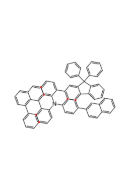 c1ccc(-c2cccc3cccc(-c4ccccc4N(c4ccc(-c5ccc6ccccc6c5)cc4)c4ccccc4-c4ccc5c(c4)C(c4ccccc4)(c4ccccc4)c4ccccc4-5)c23)cc1